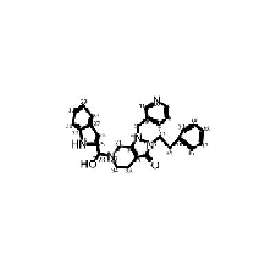 O=c1c2c(n(Cc3cccnc3)n1CCc1ccccc1)CN(C(O)c1cc3ccccc3[nH]1)CC2